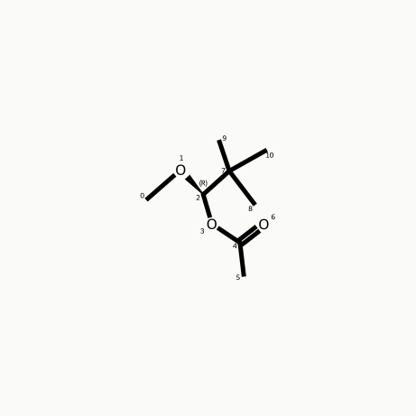 CO[C@H](OC(C)=O)C(C)(C)C